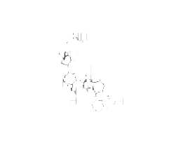 CC(O)(c1ccccc1)c1ccc2[nH]c(-c3cc(-c4cnn(C5CCNCC5)c4)cnc3N)nc2c1